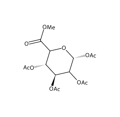 COC(=O)C1O[C@H](OC(C)=O)C(OC(C)=O)[C@@H](OC(C)=O)[C@@H]1OC(C)=O